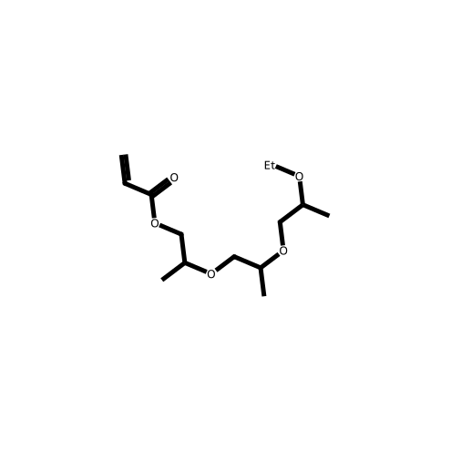 C=CC(=O)OCC(C)OCC(C)OCC(C)OCC